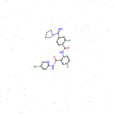 N=C(c1ccc(C(=O)Nc2ccc(F)cc2C(=O)Nc2ccc(Br)cn2)c(F)c1)N1CCCC1